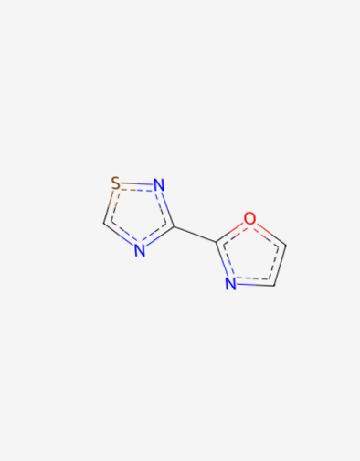 c1coc(-c2ncsn2)n1